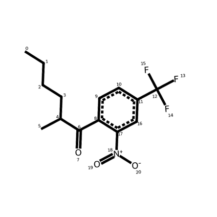 CCCCC(C)C(=O)c1ccc(C(F)(F)F)cc1[N+](=O)[O-]